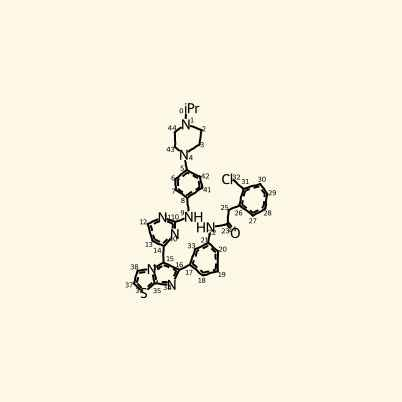 CC(C)N1CCN(c2ccc(Nc3nccc(-c4c(-c5cccc(NC(=O)Cc6ccccc6Cl)c5)nc5sccn45)n3)cc2)CC1